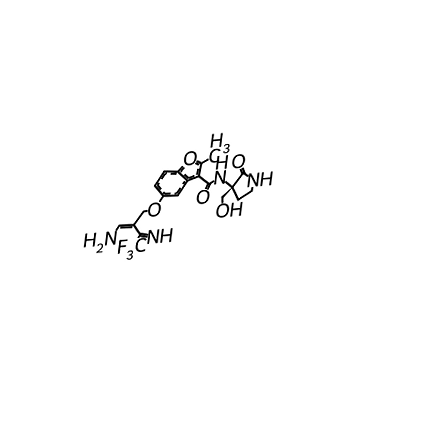 Cc1oc2ccc(OC/C(=C/N)C(=N)C(F)(F)F)cc2c1C(=O)N[C@@]1(CO)CCNC1=O